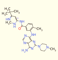 CN/C(=C\C(=N)C(C)(C)C)NC(=O)c1ccc(C)c(Nc2ncnc3c(N)nc(N4CCN(C)CC4)nc23)c1